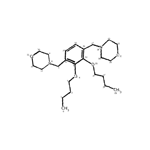 CCCCOc1c(CN2CCOCC2)ccc(CN2CCOCC2)c1OCCCC